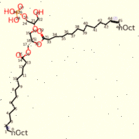 CCCCCCCC/C=C\CCCCCCCCCCCC(=O)OC[C@H](COC(CO)COP(=O)(O)O)OC(=O)CCCCCCCCCCC/C=C\CCCCCCCC